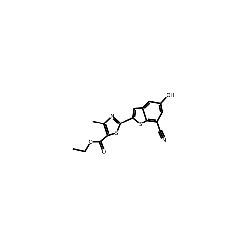 CCOC(=O)c1sc(-c2cc3cc(O)cc(C#N)c3s2)nc1C